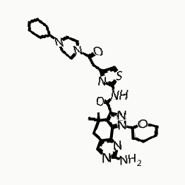 CC1(C)Cc2cnc(N)nc2-c2c1c(C(=O)Nc1nc(CC(=O)N3CCN(C4CCCCC4)CC3)cs1)nn2C1CCCCO1